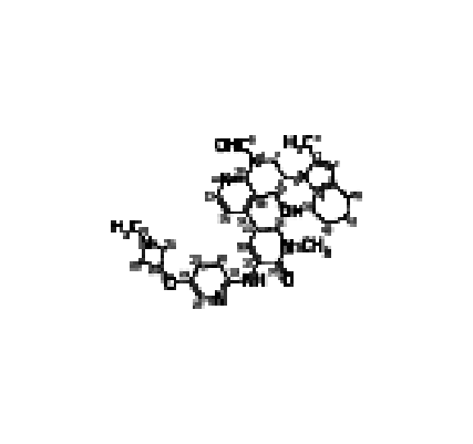 Cc1cc2c(n1CCN(C=O)c1nccc(-c3cc(Nc4ccc(OC5CN(C)C5)cn4)c(=O)n(C)c3)c1CO)CCCC2